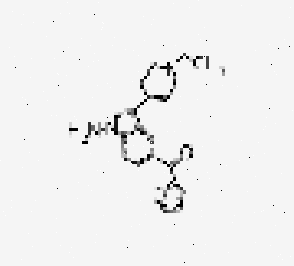 CCN1CC=C(c2cn(N)c3ccc(C(=O)c4ccco4)cc23)CC1